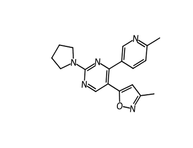 Cc1ccc(-c2nc(N3CCCC3)ncc2-c2cc(C)no2)cn1